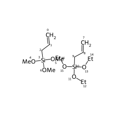 C=CC[Si](OC)(OC)OC.C=CC[Si](OCC)(OCC)OCC